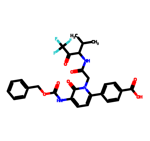 CC(C)C(NC(=O)Cn1c(-c2ccc(C(=O)O)cc2)ccc(NC(=O)OCc2ccccc2)c1=O)C(=O)C(F)(F)F